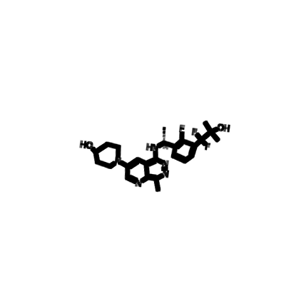 Cc1nnc(N[C@H](C)c2cccc(C(F)(F)C(C)(C)O)c2F)c2cc(N3CCC(O)CC3)cnc12